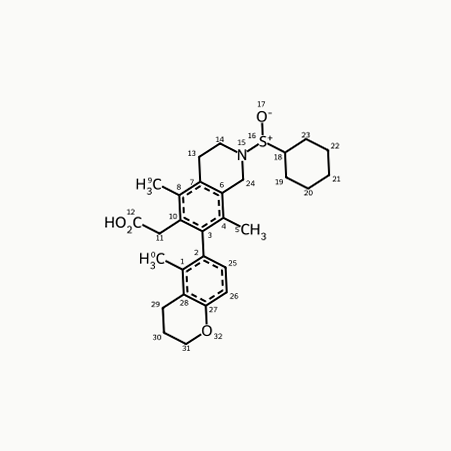 Cc1c(-c2c(C)c3c(c(C)c2CC(=O)O)CCN([S+]([O-])C2CCCCC2)C3)ccc2c1CCCO2